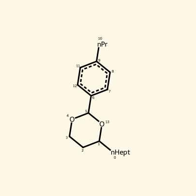 CCCCCCCC1CCOC(c2ccc(CCC)cc2)O1